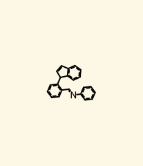 C1=CC(c2ccccc2C=Nc2ccccc2)c2ccccc21